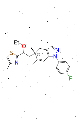 CCOC(C[C@]1(C)Cc2cnn(-c3ccc(F)cc3)c2C=C1C)c1nc(C)cs1